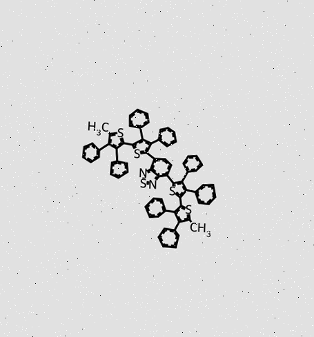 Cc1sc(-c2sc(-c3ccc(-c4sc(-c5sc(C)c(-c6ccccc6)c5-c5ccccc5)c(-c5ccccc5)c4-c4ccccc4)c4nsnc34)c(-c3ccccc3)c2-c2ccccc2)c(-c2ccccc2)c1-c1ccccc1